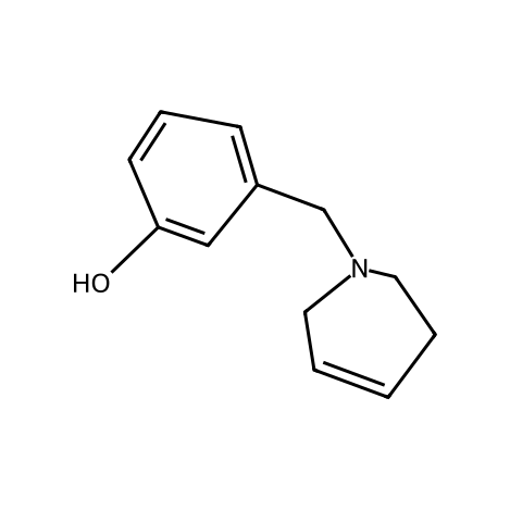 Oc1cccc(CN2CC=CCC2)c1